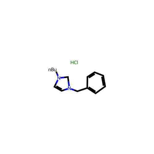 CCCCN1C=CN(Cc2ccccc2)C1.Cl